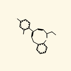 CCC1/C=C\C(c2ccc(Br)cc2F)=C/Cc2ccccc2S1